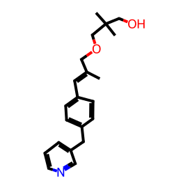 C/C(=C\c1ccc(Cc2cccnc2)cc1)COCC(C)(C)CO